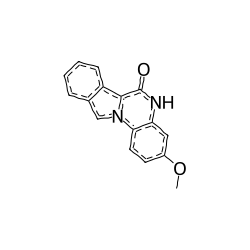 COc1ccc2c(c1)[nH]c(=O)c1c3ccccc3cn21